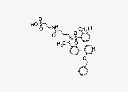 Cc1c(Cl)cccc1S(=O)(=O)N(CCCC(=O)NCCS(=O)(=O)O)C(C)c1cccc(-c2ccncc2OCc2ccccc2)c1